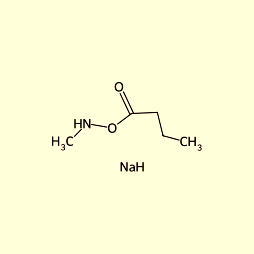 CCCC(=O)ONC.[NaH]